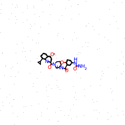 COc1cc(C(=O)N2CCC3(CC2)NC(=O)c2cc(NC(N)=O)ccc2O3)nc2c(C3CC3)cccc12